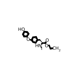 C=CCOC(=O)[C@H](Cc1ccc(Oc2ccc(O)cc2)cc1)NI